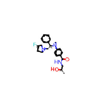 C[C@H](O)CNC(=O)c1ccc(N(C)[C@H](CN2CC[C@H](F)C2)c2ccccc2)cc1